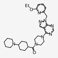 CCOc1cccc(Cn2ncc3c(N4CCN(C(=O)C5CCC(N6CCCCC6)CC5)CC4)ncnc32)n1